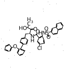 CC(O)C(=O)[C@H](Cc1ccc(-c2ccccc2Oc2ccccc2)cc1)NC(=O)c1cc(Cl)ccc1NS(=O)(=O)c1ccc2ccccc2c1